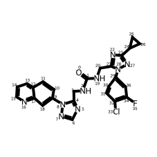 O=C(NCc1ncnn1-c1ccc2cccnc2c1)NCc1nc(C2CC2)nn1-c1ccc(Cl)c(F)c1